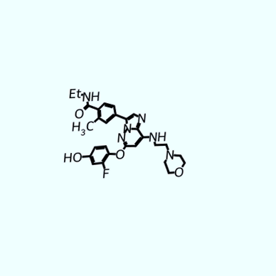 CCNC(=O)c1ccc(-c2cnc3c(NCCN4CCOCC4)cc(Oc4ccc(O)cc4F)nn23)cc1C